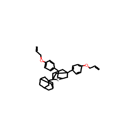 C=CCOc1ccc(C23CC4CC(c5ccc(OCC=C)cc5)(C2)CC(C25CC6CC(CC(C6)C2)C5)(C4)C3)cc1